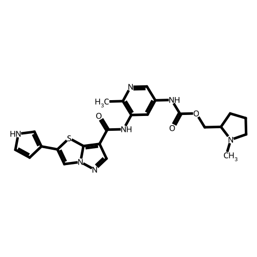 Cc1ncc(NC(=O)OCC2CCCN2C)cc1NC(=O)c1cnn2cc(-c3cc[nH]c3)sc12